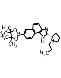 CCCN1CCC[C@H]1c1nc2ccc3cc(B4OC(C)(C)C(C)(C)O4)ccc3c2[nH]1